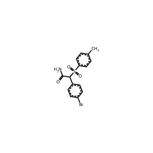 Cc1ccc(S(=O)(=O)C(C(N)=O)c2ccc(Br)cc2)cc1